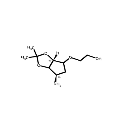 CC1(C)OC2[C@H](O1)C(OCCO)C[C@H]2N